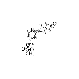 CS(=O)(=O)OCc1ccnc(N2CC3(CC(=O)C3)C2)n1